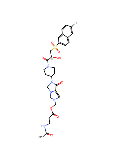 CCCC(=O)NCCC(=O)OCN1C=C2C(=O)N(C3CCN(C(=O)[C@H](O)CS(=O)(=O)c4ccc5cc(Cl)ccc5c4)CC3)CN2C1